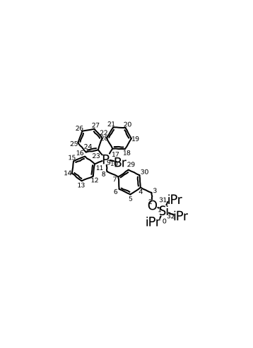 CC(C)[Si](OCc1ccc(CP(Br)(c2ccccc2)(c2ccccc2)c2ccccc2)cc1)(C(C)C)C(C)C